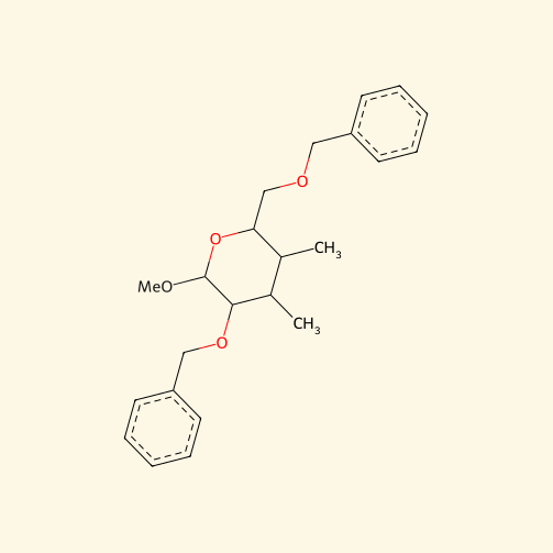 COC1OC(COCc2ccccc2)C(C)C(C)C1OCc1ccccc1